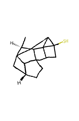 C[C@H]1C2C34CC[C@@H]5CC1(C53)C1C3(S)CC4C213